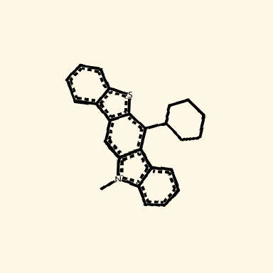 Cn1c2ccccc2c2c(C3CCCCC3)c3sc4ccccc4c3cc21